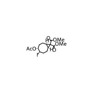 COC(=O)C1(C(=O)OC)[C@@H]2CC[C@@H](OC(C)=O)[C@H](I)CC[C@@H]21